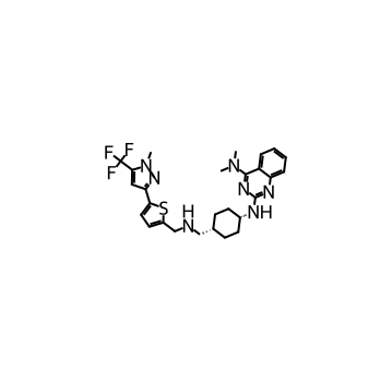 CN(C)c1nc(N[C@H]2CC[C@@H](CNCc3ccc(-c4cc(C(F)(F)F)n(C)n4)s3)CC2)nc2ccccc12